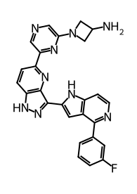 NC1CN(c2cncc(-c3ccc4[nH]nc(-c5cc6c(-c7cccc(F)c7)nccc6[nH]5)c4n3)n2)C1